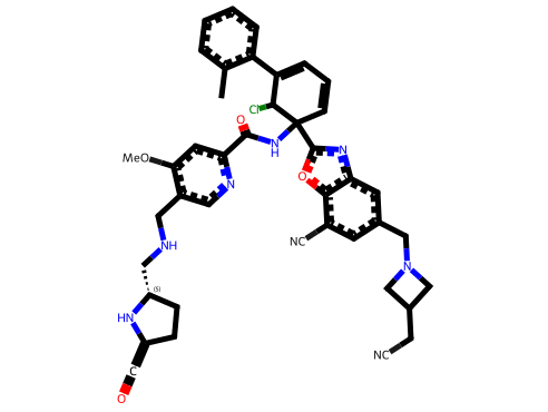 COc1cc(C(=O)NC2(c3nc4cc(CN5CC(CC#N)C5)cc(C#N)c4o3)C=CC=C(c3ccccc3C)C2Cl)ncc1CNC[C@@H]1CCC(=C=O)N1